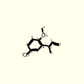 [CH2]C(C=C)c1cc(Cl)ccc1OC